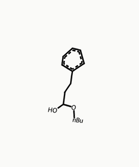 CCCCOC(O)CCc1ccccc1